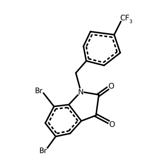 O=C1C(=O)N(Cc2ccc(C(F)(F)F)cc2)c2c(Br)cc(Br)cc21